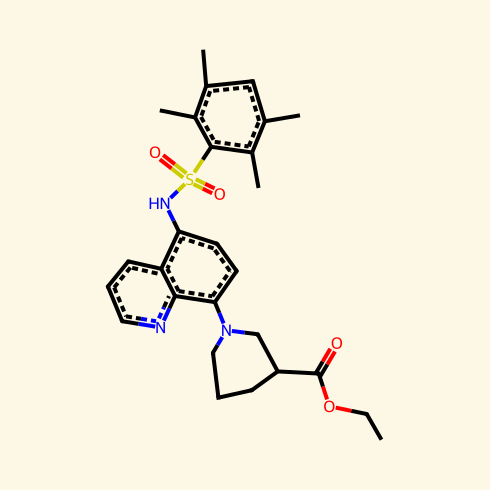 CCOC(=O)C1CCCN(c2ccc(NS(=O)(=O)c3c(C)c(C)cc(C)c3C)c3cccnc23)C1